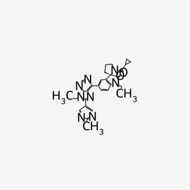 CCN1C(=O)[C@]2(CCCN2C(=O)C2CC2)c2cc(-c3ncnc4c3nc(-c3cnc(C)nc3)n4CC)ccc21